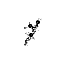 Cc1cc(C[n+]2cnn(C[C@](O)(c3cc(F)ccc3F)[C@@H](C)c3nc(-c4ccc(C#N)cc4)cs3)c2)cc(C)c1OC(=O)CNCC(=O)OC(C)(C)C.[Br-]